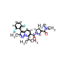 Cc1nn2c(C(C)C)c(C(=O)N3CC[C@@H](C(=O)N(C)C)C3)ccc2c1-c1c(F)cccc1F